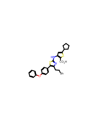 CC(C)CCc1nc(Nc2cc(C3CCCC3)sc2C(=O)O)sc1-c1ccc(Oc2ccccc2)cc1